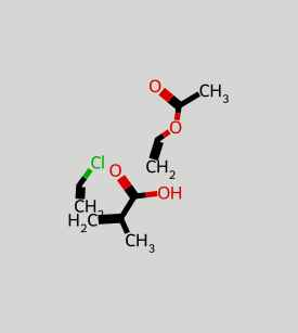 C=C(C)C(=O)O.C=CCl.C=COC(C)=O